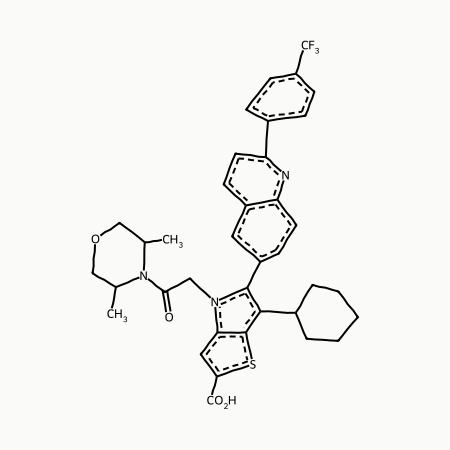 CC1COCC(C)N1C(=O)Cn1c(-c2ccc3nc(-c4ccc(C(F)(F)F)cc4)ccc3c2)c(C2CCCCC2)c2sc(C(=O)O)cc21